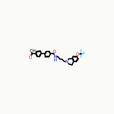 CC(=O)c1ccc(-c2ccc(C(=O)NCCCCN3CCc4ccc(OC(F)(F)F)cc4C3)cc2)cc1